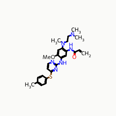 C=CC(=O)Nc1cc(Nc2nccc(Sc3ccc(C)cc3)n2)c(OC)cc1N(C)CCN(C)C